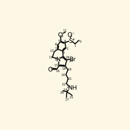 CC[S+]([O-])c1cc2c(cc1OC)CCn1c(C=O)c(CCCCNC(C)(C)C)c(Br)c1-2